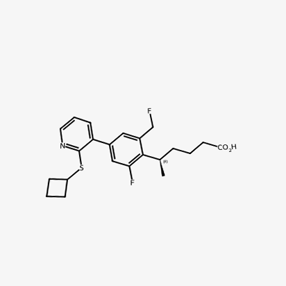 C[C@H](CCCC(=O)O)c1c(F)cc(-c2cccnc2SC2CCC2)cc1CF